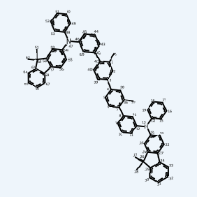 Cc1cc(-c2ccc(-c3cccc(N(c4ccccc4)c4ccc5c(c4)C(C)(C)c4ccccc4-5)c3)c(C)c2)ccc1-c1cccc(N(c2ccccc2)c2ccc3c(c2)C(C)(C)c2ccccc2-3)c1